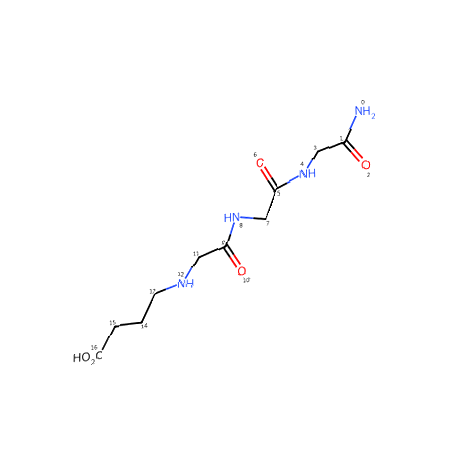 NC(=O)CNC(=O)CNC(=O)CNCCCC(=O)O